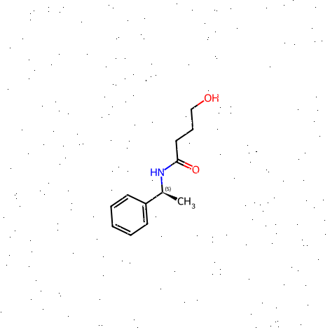 C[C@H](NC(=O)CCCO)c1ccccc1